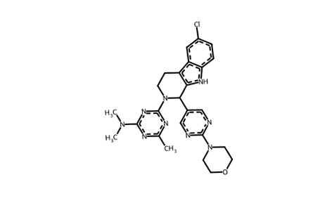 Cc1nc(N(C)C)nc(N2CCc3c([nH]c4ccc(Cl)cc34)C2c2cnc(N3CCOCC3)nc2)n1